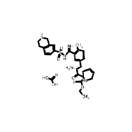 CCOC(=O)[C@@]1(C(=O)[C@H](N)Cc2ccc(C)c(C(=N)NS(=O)(=O)c3ccc4c(c3)CNCC4)c2)CC=CCN1.O=C(O)O